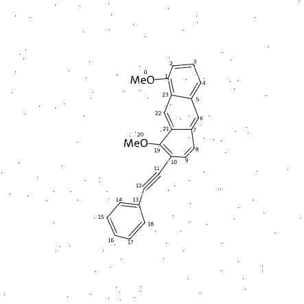 COc1cccc2cc3ccc(C#Cc4ccccc4)c(OC)c3cc12